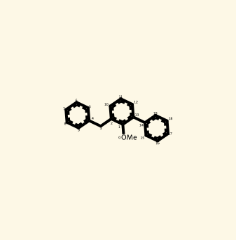 COc1c(Cc2ccccc2)cccc1-c1ccccc1